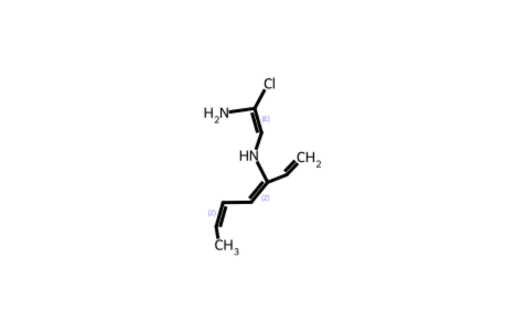 C=C/C(=C/C=C\C)N/C=C(\N)Cl